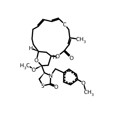 COc1ccc(CN2C(=O)SC[C@H]2[C@@]2(OC)C[C@H]3C[C@@H](CCC/C=C/C=C/CC/C(C)=C\C(=O)O3)O2)cc1